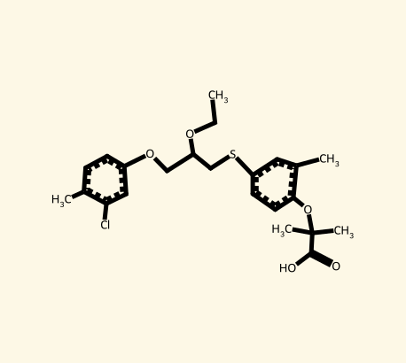 CCOC(COc1ccc(C)c(Cl)c1)CSc1ccc(OC(C)(C)C(=O)O)c(C)c1